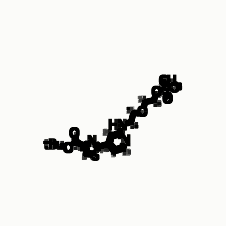 CC(C)(C)OC(=O)c1csc(-c2ccnc(NCCOCCOS(C)(=O)=O)c2)n1